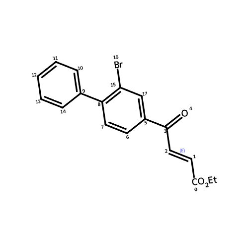 CCOC(=O)/C=C/C(=O)c1ccc(-c2ccccc2)c(Br)c1